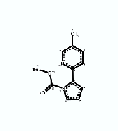 Cc1ccc(-c2cccn2C(=O)OC(C)(C)C)nc1